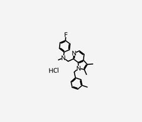 Cc1cccc(Cn2c(C)c(C)c3ccnc(CN(C)c4ccc(F)cc4)c32)c1.Cl